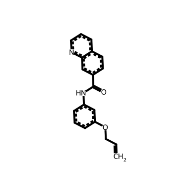 C=CCOc1cccc(NC(=O)c2ccc3cccnc3c2)c1